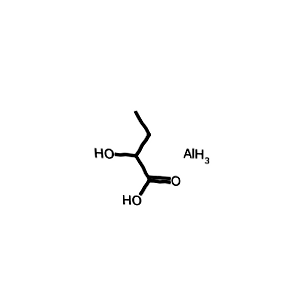 CCC(O)C(=O)O.[AlH3]